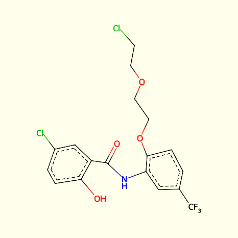 O=C(Nc1cc(C(F)(F)F)ccc1OCCOCCCl)c1cc(Cl)ccc1O